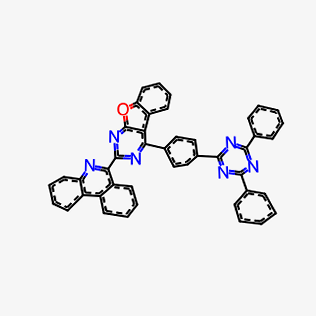 c1ccc(-c2nc(-c3ccccc3)nc(-c3ccc(-c4nc(-c5nc6ccccc6c6ccccc56)nc5oc6ccccc6c45)cc3)n2)cc1